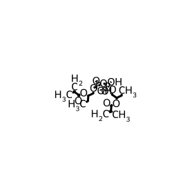 C=C(C)C(=O)OC(CC)COP(=O)(O)OP(=O)(O)OCC(CC)OC(=O)C(=C)C